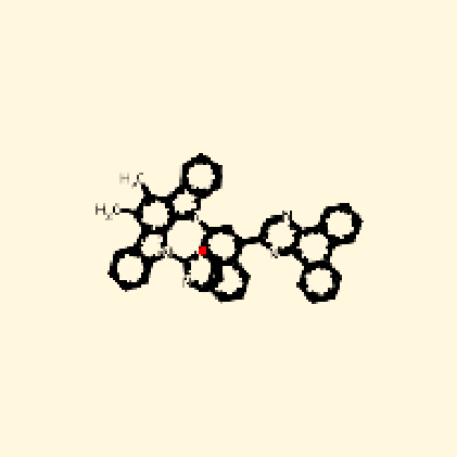 Cc1c(C)c2c3ccccc3n(-c3ncccn3)c2c2c1c1ccccc1n2-c1cc(-c2cnc3c4ccccc4c4ccccc4c3n2)c2ccccc2c1